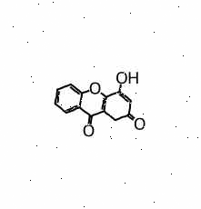 O=C1C=C(O)c2oc3ccccc3c(=O)c2C1